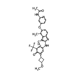 CO[C@H]1C[C@@H](n2cc(Nc3nc4ccc(Oc5ccnc(NC(C)=O)c5)c(C)c4n3C)cc(C(F)(F)F)c2=O)C1